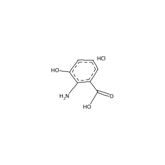 Cl.Nc1c(O)cccc1C(=O)O